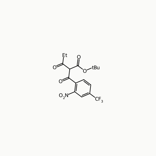 CCC(=O)C(C(=O)OC(C)(C)C)C(=O)c1ccc(C(F)(F)F)cc1[N+](=O)[O-]